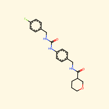 O=C(NCc1ccc(F)cc1)Nc1ccc(CNC(=O)C2CCCOC2)cc1